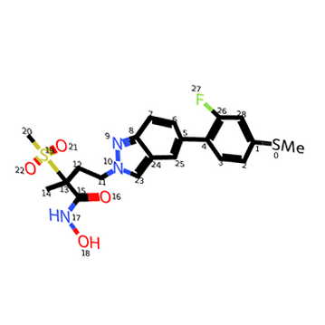 CSc1ccc(-c2ccc3nn(CCC(C)(C(=O)NO)S(C)(=O)=O)cc3c2)c(F)c1